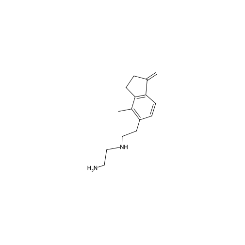 C=C1CCc2c1ccc(CCNCCN)c2C